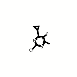 Cc1nc(Cl)nc(C2CC2)c1F